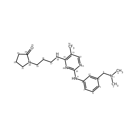 CN(C)Cc1cccc(Nc2ncc(C(F)(F)F)c(NCCCN3CCCC3=O)n2)c1